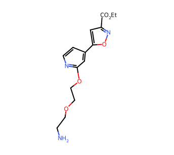 CCOC(=O)c1cc(-c2ccnc(OCCOCCN)c2)on1